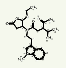 CCOC1OC(=O)CC1N(CCc1cn(C)c2ccccc12)C(=O)CC(C(N)=O)C(C)C